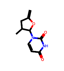 C=C1CC(C)C(n2ccc(=O)[nH]c2=O)O1